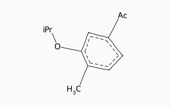 CC(=O)c1ccc(C)c(OC(C)C)c1